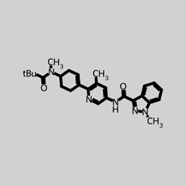 Cc1cc(NC(=O)c2nn(C)c3ccccc23)cnc1C1=CCC(N(C)C(=O)C(C)(C)C)CC1